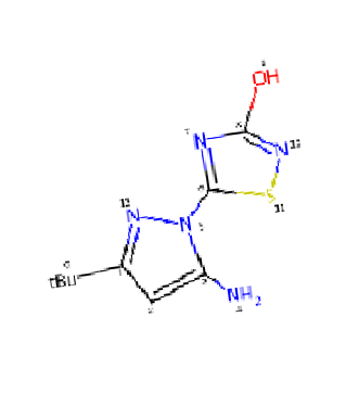 CC(C)(C)c1cc(N)n(-c2nc(O)ns2)n1